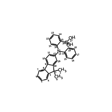 CC1(C)c2ccccc2-c2ccc(N(c3ccccc3)c3ccccc3B(O)O)cc21